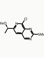 CO[C@H](C)c1cc2cnc(SC)nc2c(Cl)n1